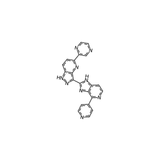 c1cc(-c2nccc3[nH]c(-c4n[nH]c5ccc(-c6cnccn6)nc45)nc23)ccn1